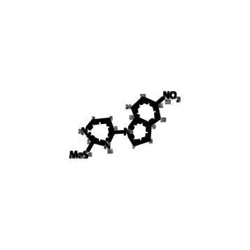 CSc1nccc(-n2ccc3cc([N+](=O)[O-])ccc32)n1